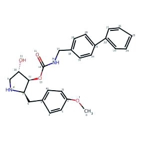 COc1ccc(C[C@H]2NC[C@H](O)[C@H]2OC(=O)NCc2ccc(-c3ccccc3)cc2)cc1